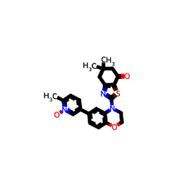 Cc1ccc(-c2ccc3c(c2)N(c2nc4c(s2)C(=O)CC(C)(C)C4)CCO3)c[n+]1[O-]